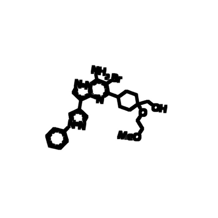 COCCOC1(CO)CCC(c2nc3c(-c4cnn(-c5ccccc5)c4)cnn3c(N)c2Br)CC1